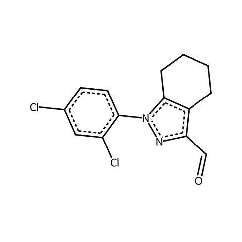 O=Cc1nn(-c2ccc(Cl)cc2Cl)c2c1CCCC2